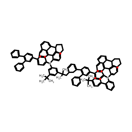 CC(C)(C)c1ccc(-c2ccccc2N(c2ccc(-c3ccc(C4=CC=CC(CC(C)(C)c5cc(N(c6ccc(-c7ccc(-c8ccccc8)c(-c8ccccc8)c7)cc6)c6ccccc6-c6cccc7cccc(C8CCCCC8)c67)cc(C(C)(C)C)c5)C4)c(-c4ccccc4)c3)cc2)c2ccccc2-c2cccc3cccc(C4CCCCC4)c23)cc1